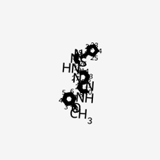 COc1ccccc1Nc1cnc2ccc(Nc3nnc(C4CCCC4)s3)nc2c1